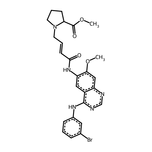 COC(=O)C1CCCN1CC=CC(=O)Nc1cc2c(Nc3cccc(Br)c3)ncnc2cc1OC